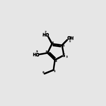 CCc1sc(O)c(O)c1O